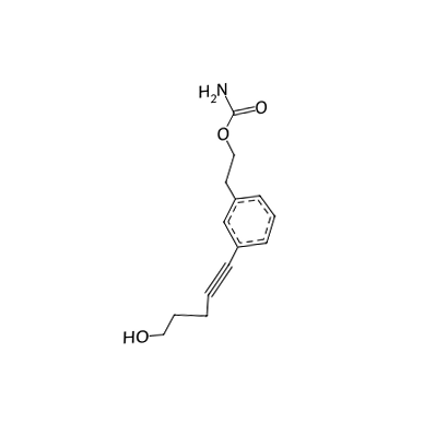 NC(=O)OCCc1cccc(C#CCCCO)c1